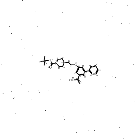 CC(C)(C)OC(=O)N1CCN(CCOc2cc(C(=O)O)nc(-c3ccccc3)c2)CC1